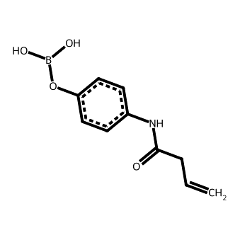 C=CCC(=O)Nc1ccc(OB(O)O)cc1